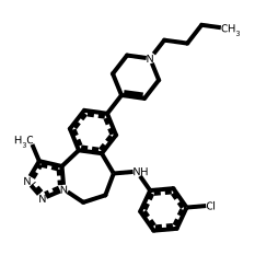 CCCCN1CC=C(c2ccc3c(c2)C(Nc2cccc(Cl)c2)CCn2nnc(C)c2-3)CC1